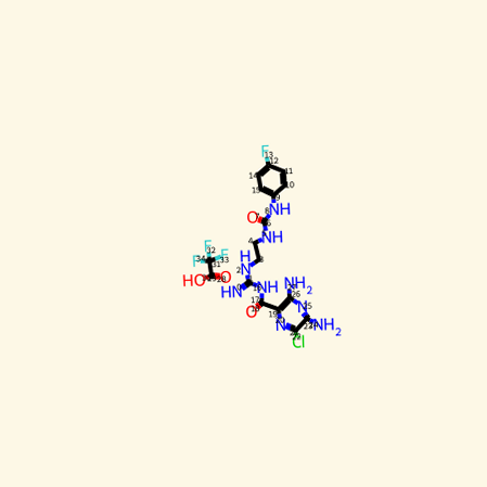 N=C(NCCNC(=O)Nc1ccc(F)cc1)NC(=O)c1nc(Cl)c(N)nc1N.O=C(O)C(F)(F)F